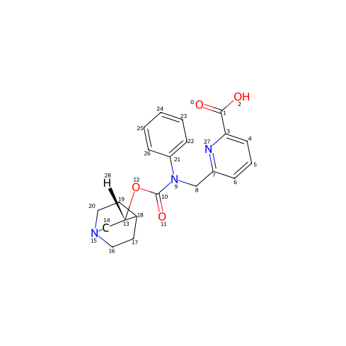 O=C(O)c1cccc(CN(C(=O)O[C@H]2CN3CCC2CC3)c2ccccc2)n1